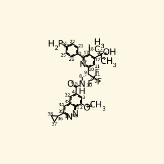 COc1cc(C(=O)NC[C@H](c2cc(C(C)(C)O)c(I)c(-c3ccc(P)cc3)n2)C(F)(F)F)cc2cc(C3CC3)nnc12